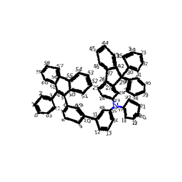 c1ccc(-c2c(-c3cccc(-c4cccc(N(c5ccccc5)c5ccc6c(c5)C(c5ccccc5)(c5ccccc5)c5ccccc5-6)c4)c3)c3ccccc3c3ccccc23)cc1